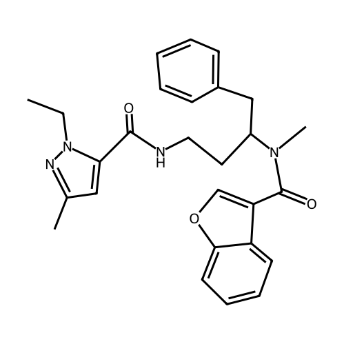 CCn1nc(C)cc1C(=O)NCCC(Cc1ccccc1)N(C)C(=O)c1coc2ccccc12